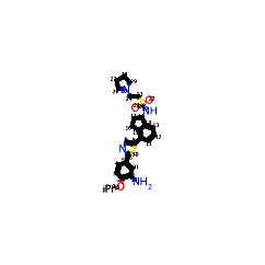 CC(C)Oc1ccc(-c2ncc(-c3cccc4c3CC[C@@H]4NS(=O)(=O)CCN3CCCC3)s2)cc1N